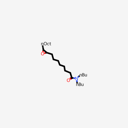 CCCCCCCCC1OC1CCCCCCCC(=O)N(CCCC)CCCC